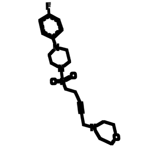 O=S(=O)(CCC#CCN1CCOCC1)N1CCN(c2ccc(F)cc2)CC1